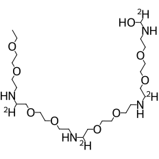 [2H]C(O)NCCOCCOCC([2H])NCCOCCOCC([2H])NCCOCCOCC([2H])NCCOCCOCC